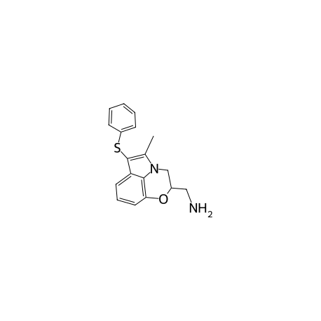 Cc1c(Sc2ccccc2)c2cccc3c2n1CC(CN)O3